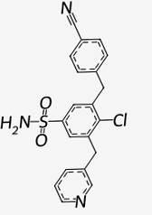 N#Cc1ccc(Cc2cc(S(N)(=O)=O)cc(Cc3cccnc3)c2Cl)cc1